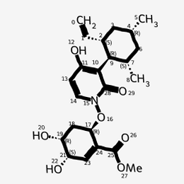 C=C[C@@H]1C[C@H](C)C[C@H](C)[C@H]1c1c(O)ccn(O[C@@H]2C[C@@H](O)[C@@H](O)C=C2C(=O)OC)c1=O